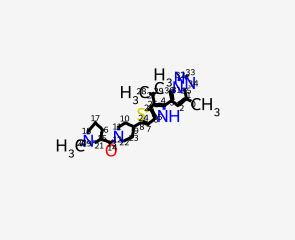 Cc1cc(-c2[nH]c3cc(C4CCN(C(=O)C5CCCN(C)C5)CC4)sc3c2C(C)C)cn2ncnc12